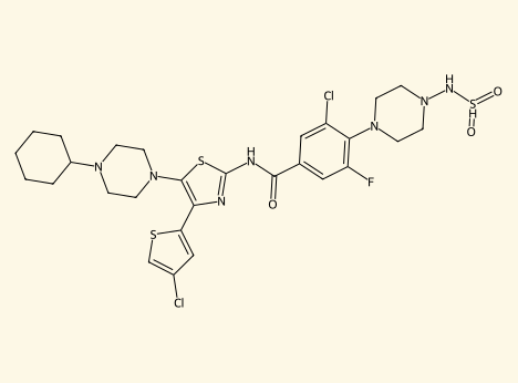 O=C(Nc1nc(-c2cc(Cl)cs2)c(N2CCN(C3CCCCC3)CC2)s1)c1cc(F)c(N2CCN(N[SH](=O)=O)CC2)c(Cl)c1